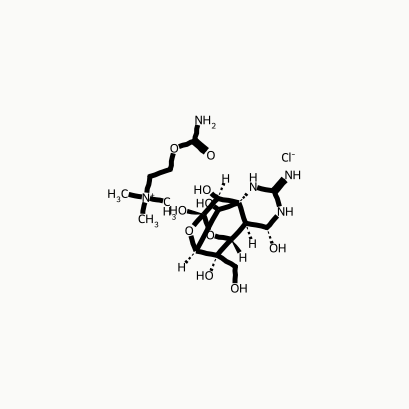 C[N+](C)(C)CCOC(N)=O.N=C1N[C@H](O)[C@H]2[C@H]3O[C@]4(O)O[C@@H](C(O)[C@@]2(N1)[C@@H]4O)[C@]3(O)CO.[Cl-]